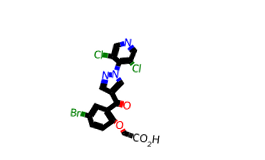 O=C(O)COc1ccc(Br)cc1C(=O)c1cnn(-c2c(Cl)cncc2Cl)c1